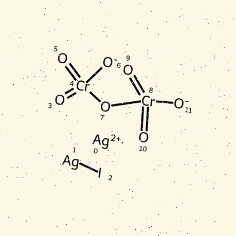 [Ag+2].[Ag][I].[O]=[Cr](=[O])([O-])[O][Cr](=[O])(=[O])[O-]